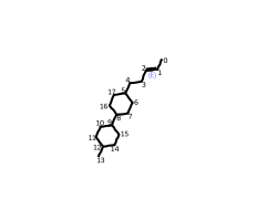 C/C=C/CCC1CCC(C2CCC(C)CC2)CC1